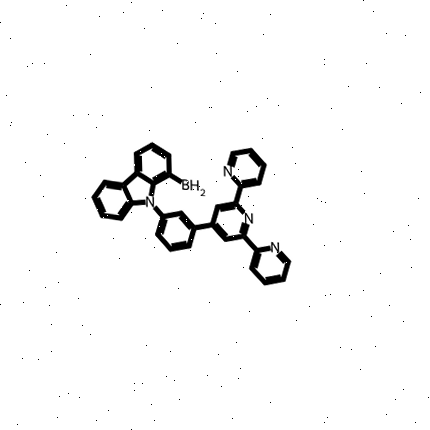 Bc1cccc2c3ccccc3n(-c3cccc(-c4cc(-c5ccccn5)nc(-c5ccccn5)c4)c3)c12